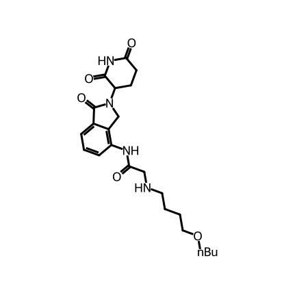 CCCCOCCCCNCC(=O)Nc1cccc2c1CN(C1CCC(=O)NC1=O)C2=O